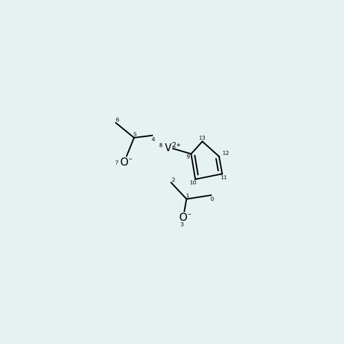 CC(C)[O-].CC(C)[O-].[V+2][C]1=CC=CC1